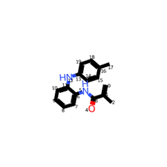 C=C(C)C(=O)Nc1ccccc1Nc1ccc(C)cc1